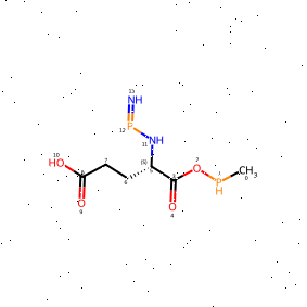 CPOC(=O)[C@H](CCC(=O)O)NP=N